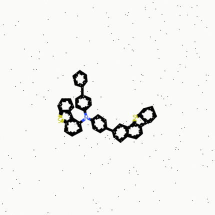 c1ccc(-c2ccc(N(c3ccc(-c4ccc5ccc6c7ccccc7sc6c5c4)cc3)c3cccc4sc5ccccc5c34)cc2)cc1